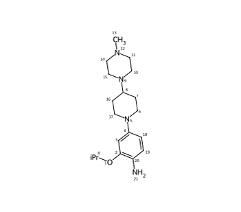 CC(C)Oc1cc(N2CCC(N3CCN(C)CC3)CC2)ccc1N